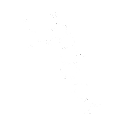 CCCC(CCO)Nc1nc(N)nc2cnn(Cc3ncc(C4CCN(C(=O)CC)CC4)cc3OC)c12